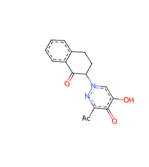 CC(=O)c1nn(C2CCc3ccccc3C2=O)cc(O)c1=O